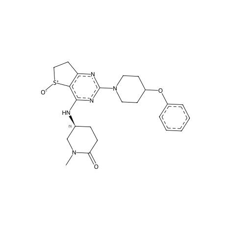 CN1C[C@@H](Nc2nc(N3CCC(Oc4ccccc4)CC3)nc3c2[S+]([O-])CC3)CCC1=O